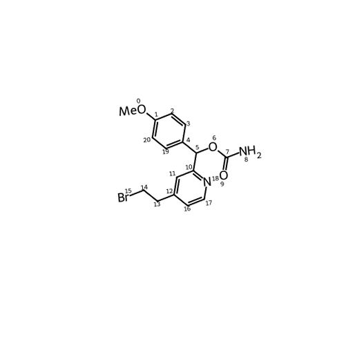 COc1ccc(C(OC(N)=O)c2cc(CCBr)ccn2)cc1